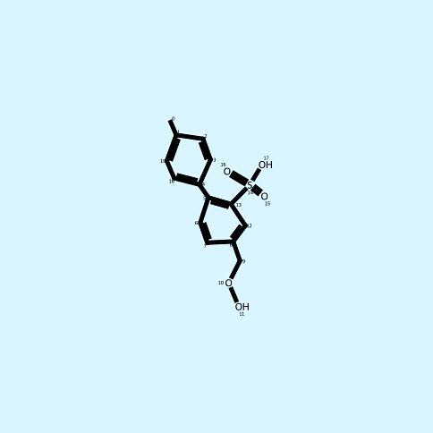 Cc1ccc(-c2ccc(COO)cc2S(=O)(=O)O)cc1